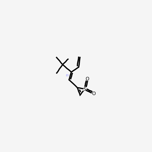 C=C/C(=C\C1=CS1(=O)=O)C(C)(C)C